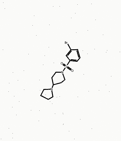 O=S(=O)(c1cccc(Br)c1)N1CCC(N2CCCC2)CC1